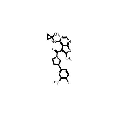 Cc1nc(C2CCN(C(=O)c3c(C)oc4ncnc(NC5(C)CC5)c34)C2)ccc1F